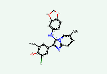 COc1cc(-c2nc3ccc(C)cn3c2Nc2ccc3c(c2)OCO3)cc(F)c1O